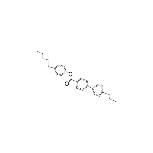 CCCCCc1ccc(OC(=O)c2ccc(-c3ccc(CCC)cc3)cc2)cc1